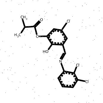 CC(C)C(=O)Oc1cc(Cl)cc(C=Nc2cccc(Cl)c2Cl)c1O